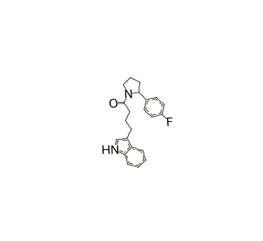 O=C(CCCc1c[nH]c2ccccc12)N1CCCC1c1ccc(F)cc1